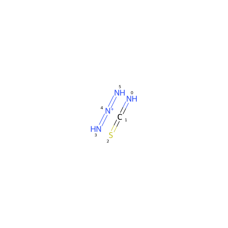 N=C=S.N=[N+]=N